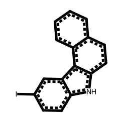 Ic1ccc2[nH]c3ccc4ccccc4c3c2c1